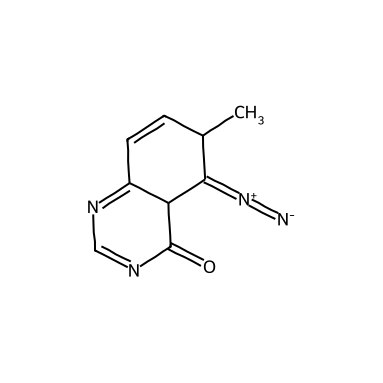 CC1C=CC2=NC=NC(=O)C2C1=[N+]=[N-]